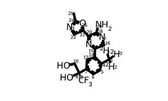 [2H]C([2H])([2H])c1ccc([C@](O)(CO)C(F)(F)F)cc1-c1cnc(N)c(-c2cnc(C)o2)n1